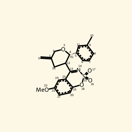 C=C1CO[C@H](c2cccc(C)c2)C(C2=NS(=O)(=O)Oc3ccc(OC)cc32)C1